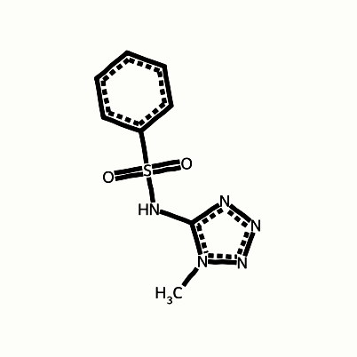 Cn1nnnc1NS(=O)(=O)c1ccccc1